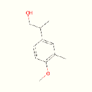 COc1ccc([C](C)CO)cc1C